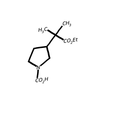 CCOC(=O)C(C)(C)C1CCN(C(=O)O)C1